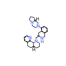 c1cnc2c(c1)CC[C@H]1CCCN(C[C@H]3Cc4c(cccc4N4CCN5CCC[C@@H]5C4)CN3)C21